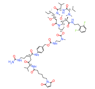 CC[C@H](C)[C@@H]([C@@H](CC(=O)N1C[C@@H](OC(=O)N(C)CCNC(=O)OCc2ccc(NC(=O)[C@H](CCCNC(N)=O)CC(=O)[C@@H](NC(=O)CCCCCN3C(=O)C=CC3=O)C(C)C)cc2)C[C@H]1[C@H](OC)[C@@H](C)C(=O)NCCc1c(F)cccc1F)OC)N(C)C(=O)[C@@H](NC(=O)[C@H](C(C)C)N(C)C)C(C)C